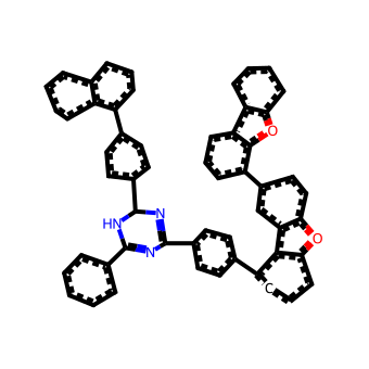 c1ccc(C2=NC(c3ccc(-c4cccc5oc6ccc(-c7cccc8c7oc7ccccc78)cc6c45)cc3)=NC(c3ccc(-c4cccc5ccccc45)cc3)N2)cc1